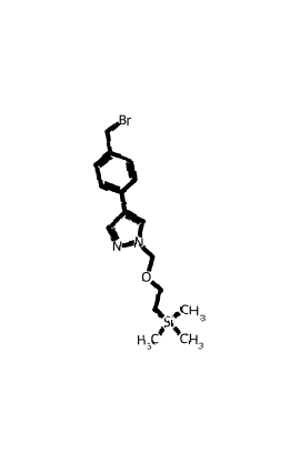 C[Si](C)(C)CCOCn1cc(-c2ccc(CBr)cc2)cn1